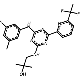 Cc1cc(F)cc(Nc2nc(NCC(C)(C)O)nc(-c3cccc(C(C)(F)F)n3)n2)c1